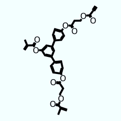 C#CC(=O)OCCC(=O)Oc1ccc(-c2cc(OC(=O)C(=C)C)cc(-c3ccc(OC(=O)CCOC(=O)C(=C)C)cc3)c2)cc1